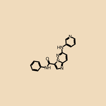 O=C(Nc1ccccc1)c1cnc2ccc(Nc3cccnc3)nn12